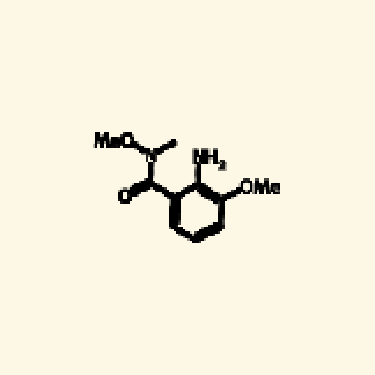 COc1cccc(C(=O)N(C)OC)c1N